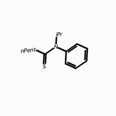 CCCCCC(=S)N(c1ccccc1)C(C)C